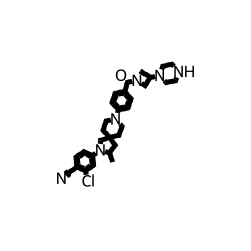 CC1CC2(CCN(c3ccc(C(=O)N4CC(N5CCNCC5)C4)cc3)CC2)CN1c1ccc(C#N)c(Cl)c1